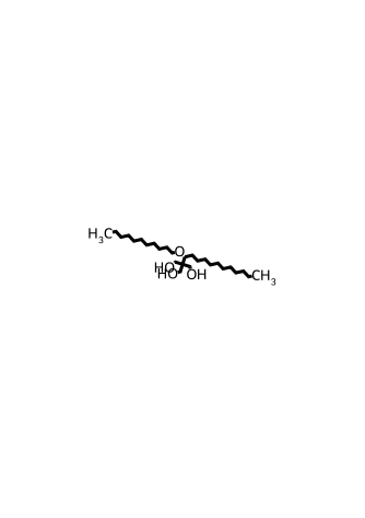 CCCCCCCCCCCOC(CCCCCCCCCCC)C(CO)(CO)CO